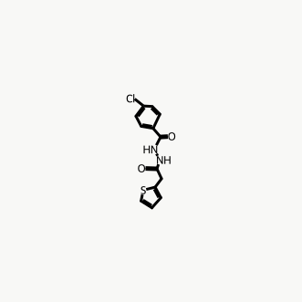 O=C(Cc1cccs1)NNC(=O)c1ccc(Cl)cc1